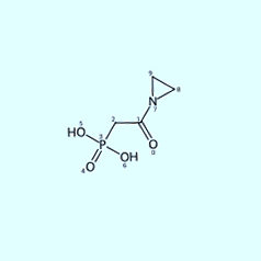 O=C(CP(=O)(O)O)N1CC1